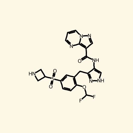 O=C(Nc1c[nH]nc1Cc1cc(S(=O)(=O)C2CNC2)ccc1OC(F)F)c1cnn2cccnc12